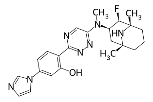 CN(c1cnc(-c2ccc(-n3ccnc3)cc2O)nn1)[C@@H]1C[C@@]2(C)CCC[C@](C)(N2)[C@@H]1F